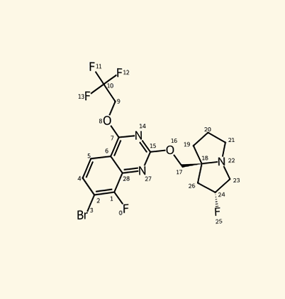 Fc1c(Br)ccc2c(OCC(F)(F)F)nc(OC[C@@]34CCCN3C[C@H](F)C4)nc12